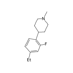 CCc1ccc(C2CCN(C)CC2)c(F)c1